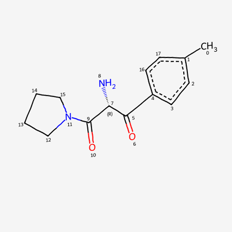 Cc1ccc(C(=O)[C@@H](N)C(=O)N2CCCC2)cc1